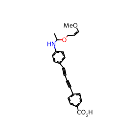 CO/C=C\COC(C)Nc1ccc(C#CC#Cc2ccc(C(=O)O)cc2)cc1